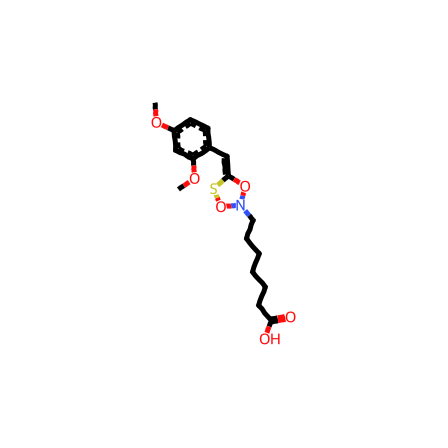 COc1ccc(/C=C2/ON(CCCCCCC(=O)O)OS2)c(OC)c1